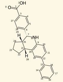 O=C(O)c1ccc([C@@H]2Nc3ccc(-c4ccccc4)cc3[C@@H]3CCC[C@@H]32)cc1